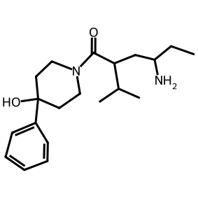 CCC(N)CC(C(=O)N1CCC(O)(c2ccccc2)CC1)C(C)C